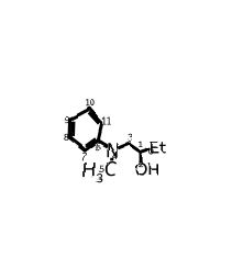 CCC(O)CN(C)c1ccccc1